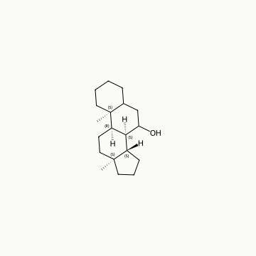 C[C@@]12CCC[C@H]1[C@@H]1C(O)CC3CCCC[C@]3(C)[C@@H]1CC2